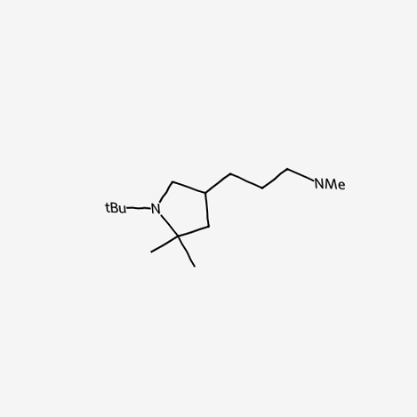 CNCCCC1CN(C(C)(C)C)C(C)(C)C1